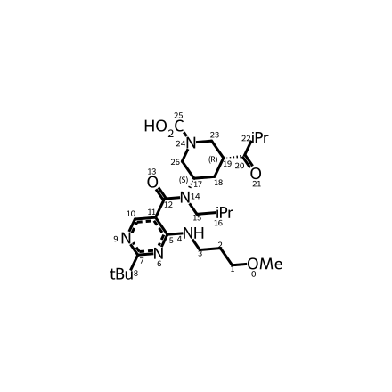 COCCCNc1nc(C(C)(C)C)ncc1C(=O)N(CC(C)C)[C@H]1C[C@@H](C(=O)C(C)C)CN(C(=O)O)C1